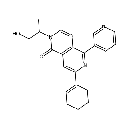 CC(CO)n1cnc2c(-c3cccnc3)nc(C3=CCCCC3)cc2c1=O